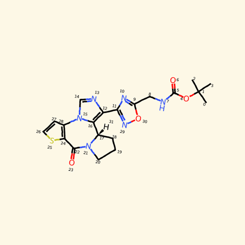 CC(C)(C)OC(=O)NCc1nc(-c2ncn3c2[C@@H]2CCCN2C(=O)c2sccc2-3)no1